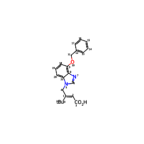 CC(C)(C)C(=CC(=O)O)Cn1cnc2c(OCc3ccccc3)cccc21